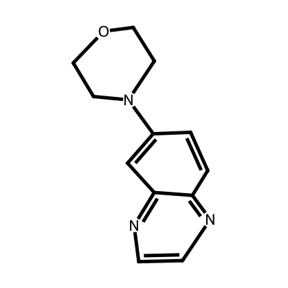 c1cnc2cc(N3CCOCC3)ccc2n1